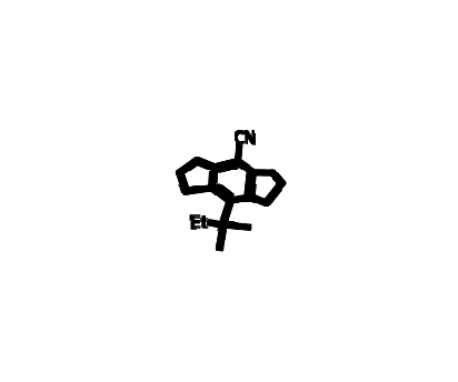 CCC(C)(C)c1c2c(c(C#N)c3c1CCC3)CCC2